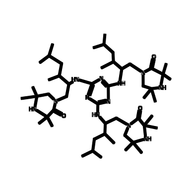 CC(C)CC(C)C(CN1CC(C)(C)NC(C)(C)C1=O)Nc1nc(NC(CN2CC(C)(C)NC(C)(C)C2=O)C(C)CC(C)C)nc(NC(CN2CC(C)(C)NC(C)(C)C2=O)C(C)CC(C)C)n1